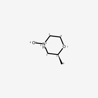 C[C@H]1C[NH+]([O-])CCO1